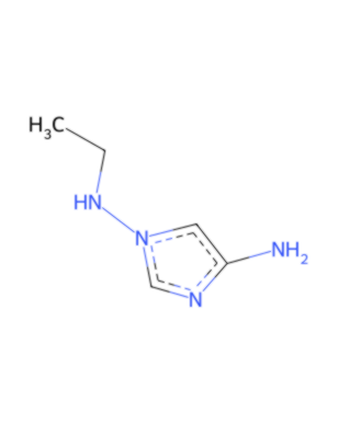 CCNn1cnc(N)c1